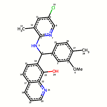 COc1cc(C(Nc2ncc(Cl)cc2C)c2ccc3cccnc3c2O)ccc1C